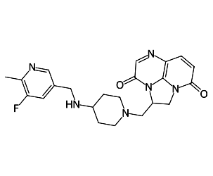 Cc1ncc(CNC2CCN(CC3Cn4c(=O)ccc5ncc(=O)n3c54)CC2)cc1F